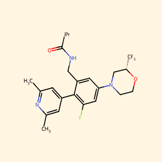 Cc1cc(-c2c(F)cc(N3CCO[C@@H](C(F)(F)F)C3)cc2CNC(=O)C(C)C)cc(C)n1